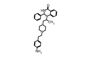 CC(CN1CCN(CCc2ccc(N)cc2)CC1)N1c2ccccc2C(=O)NC1c1ccccc1